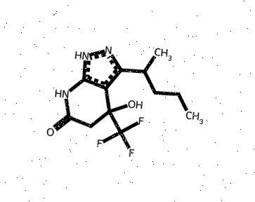 CCCC(C)c1n[nH]c2c1C(O)(C(F)(F)F)CC(=O)N2